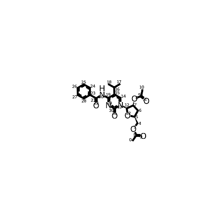 CC(=O)OC[C@@H]1C[C@@H](OC(C)=O)[C@H](n2cc(C(C)C)c(NC(=O)c3ccccc3)nc2=O)O1